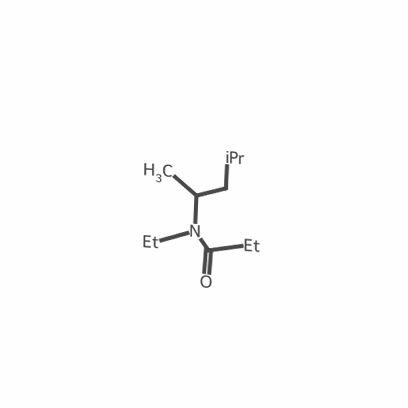 CCC(=O)N(CC)C(C)CC(C)C